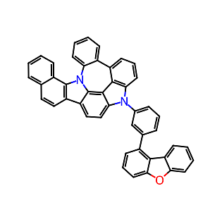 c1cc(-c2cccc3oc4ccccc4c23)cc(-n2c3cccc4c5ccccc5n5c6c7ccccc7ccc6c6ccc2c(c43)c65)c1